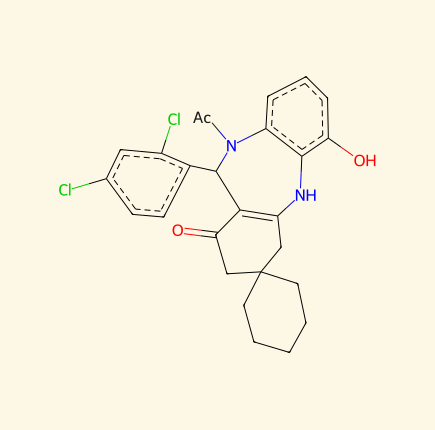 CC(=O)N1c2cccc(O)c2NC2=C(C(=O)CC3(CCCCC3)C2)C1c1ccc(Cl)cc1Cl